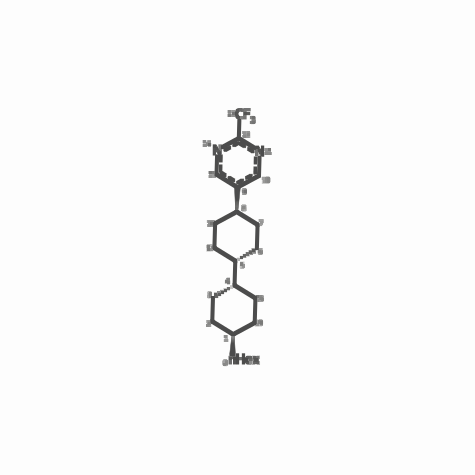 CCCCCC[C@H]1CC[C@H]([C@H]2CC[C@H](c3cnc(C(F)(F)F)nc3)CC2)CC1